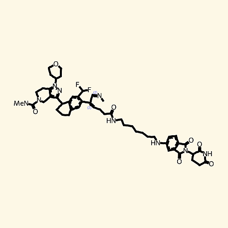 C/N=C\C(=C/CCC(=O)NCCCCCCCNc1ccc2c(c1)C(=O)N(C1CCC(=O)NC1=O)C2=O)c1cc2c(cc1C(F)F)C(c1nn(C3CCOCC3)c3c1CN(C(=O)NC)CC3)CCC2